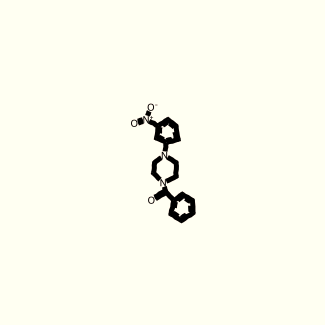 O=C(c1ccccc1)N1CCN(c2cccc([N+](=O)[O-])c2)CC1